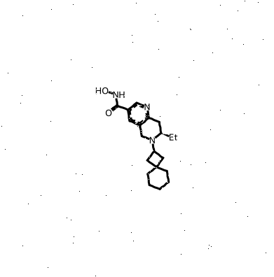 CC[C@@H]1Cc2ncc(C(=O)NO)cc2CN1C1CC2(CCCCC2)C1